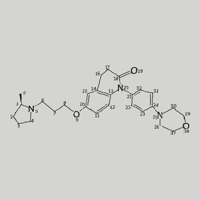 C[C@@H]1CCCN1CCCOc1ccc2c(c1)CCC(=O)N2c1ccc(N2CCOCC2)cc1